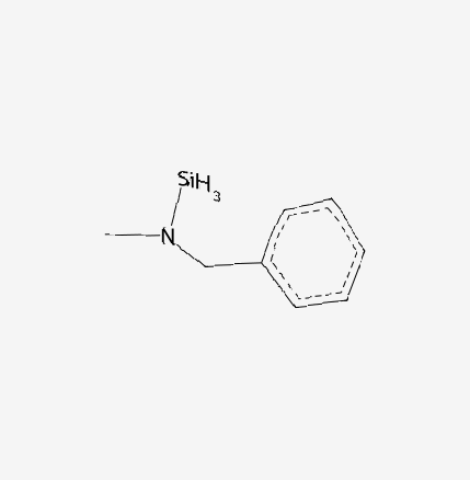 CN([SiH3])Cc1ccccc1